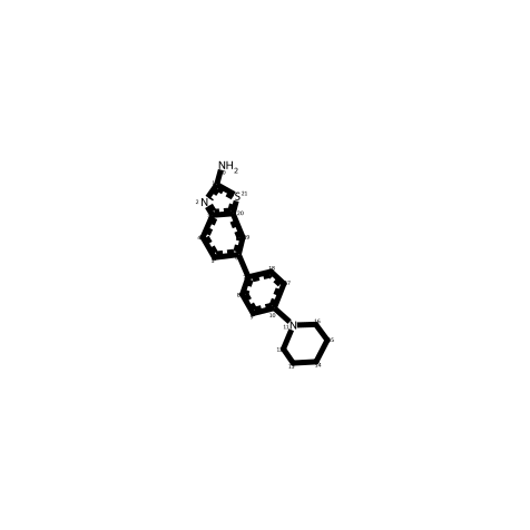 Nc1nc2ccc(-c3ccc(N4CCCCC4)cc3)cc2s1